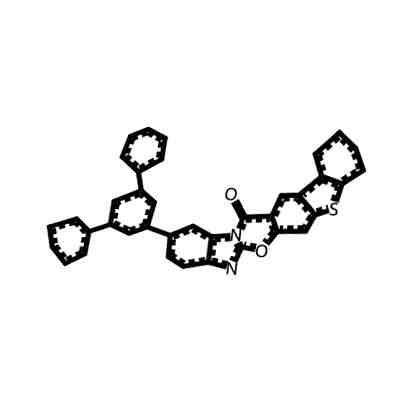 O=c1c2cc3c(cc2oc2nc4ccc(-c5cc(-c6ccccc6)cc(-c6ccccc6)c5)cc4n12)sc1ccccc13